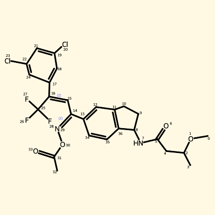 COC(C)CC(=O)NC1CCc2cc(C(/C=C(/c3cc(Cl)cc(Cl)c3)C(F)(F)F)=N\OC(C)=O)ccc21